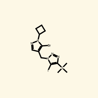 CS(C)(C)c1nnn(Cc2cnn(C3CCC3)c2Br)c1I